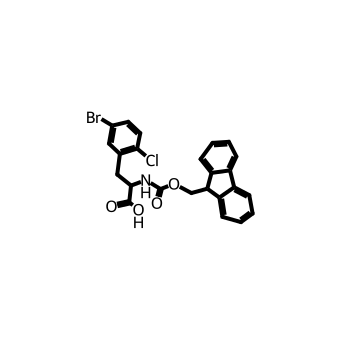 O=C(NC(Cc1cc(Br)ccc1Cl)C(=O)O)OCC1c2ccccc2-c2ccccc21